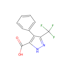 O=C(O)c1[nH]nc(C(F)(F)F)c1-c1ccccc1